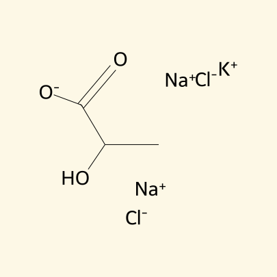 CC(O)C(=O)[O-].[Cl-].[Cl-].[K+].[Na+].[Na+]